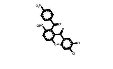 COc1ccc([C]=O)c(C(=O)c2ccc([N+](=O)[O-])cc2)c1C(=O)c1ccc(Cl)c(Cl)c1